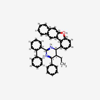 CCC1C(c2ccccc2)=NC(c2ccccc2-c2ccccc2)=NC1c1cccc2oc3cc4ccccc4cc3c12